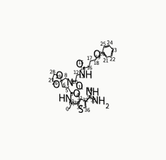 C[C@@H](NC(=O)C1CC2(CN1C(=O)CNC(=O)CCCOc1ccccc1)OCCO2)c1cc(C(=N)N)cs1